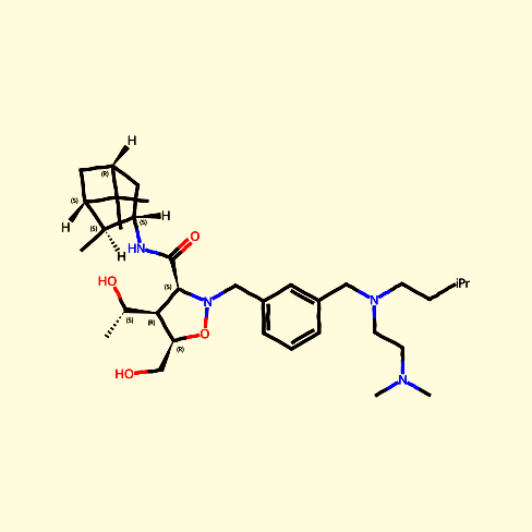 CC(C)CCN(CCN(C)C)Cc1cccc(CN2O[C@@H](CO)[C@@H]([C@H](C)O)[C@H]2C(=O)N[C@H]2C[C@H]3C[C@@H]([C@@H]2C)C3(C)C)c1